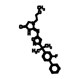 COCCN1CC(=O)N/C1=N\c1cc(C(C)(C)c2ccc(-c3ccccc3)c(F)c2)no1